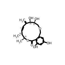 C=C1/C=C\[C@@H](C)[C@H](C)OC(=O)c2c(O)cc(O)cc2COC[C@H](O)[C@@H]1O